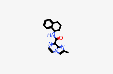 Cc1cn2ccnc(C(=O)NC3CCCc4ccccc43)c2n1